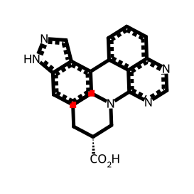 O=C(O)[C@@H]1CCCN(c2ncnc3cccc(-c4cccc5[nH]ncc45)c23)C1